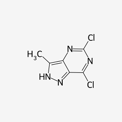 Cc1[nH]nc2c(Cl)nc(Cl)nc12